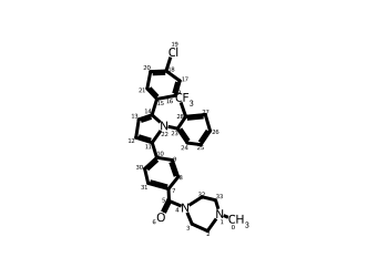 CN1CCN(C(=O)c2ccc(-c3ccc(-c4ccc(Cl)cc4)n3-c3ccccc3C(F)(F)F)cc2)CC1